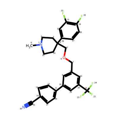 CN1CCC(COCc2cc(-c3ccc(C#N)cc3)cc(C(F)(F)F)c2)(c2ccc(F)c(F)c2)CC1